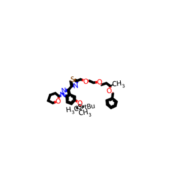 C[C@H](CCOCCOCc1nc(-c2nn(C3CCCCO3)c3ccc(O[Si](C)(C)C(C)(C)C)cc23)cs1)OCc1ccccc1